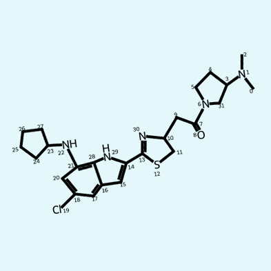 CN(C)C1CCN(C(=O)CC2CSC(c3cc4cc(Cl)cc(NC5CCCC5)c4[nH]3)=N2)C1